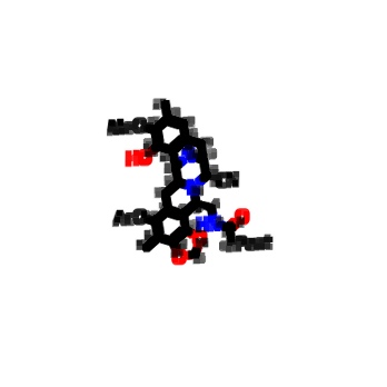 CCCCCC(=O)NC[C@H]1c2c(c(OC(C)=O)c(C)c3c2OCO3)CC2C3c4c(cc(C)c(OC)c4O)CC([C@H](C#N)N21)N3C